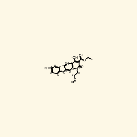 CCOC(=O)c1c(O)c2ncc(Cc3ccc(F)cc3)cc2n(CCOC)c1=O